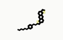 CCCCCCc1ccc(CCc2cc3ccc4cc5c(ccc6ccsc65)cc4c3s2)cc1